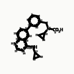 O=C(O)N(Cc1cccc(-c2ccc3ncnc(NC4CC4)c3c2)c1)C1CC1